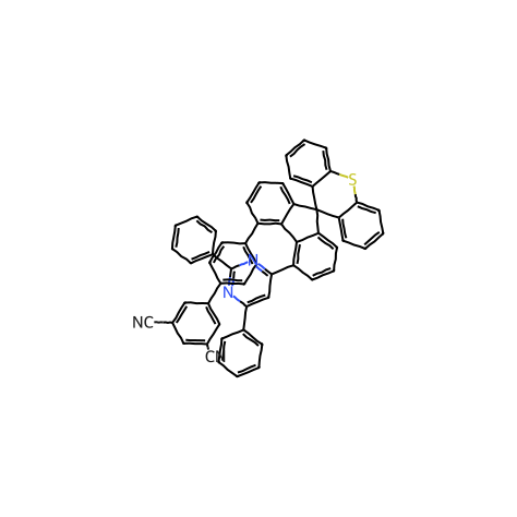 N#Cc1cc(C#N)cc(-c2ccc(-c3cccc4c3-c3c(-c5cc(-c6ccccc6)nc(-c6ccccc6)n5)cccc3C43c4ccccc4Sc4ccccc43)cc2)c1